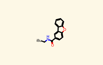 CCC(C)CNC(=O)c1ccc2oc3ccccc3c2c1